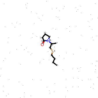 CCCCSCC(C)N1CCCC1=O